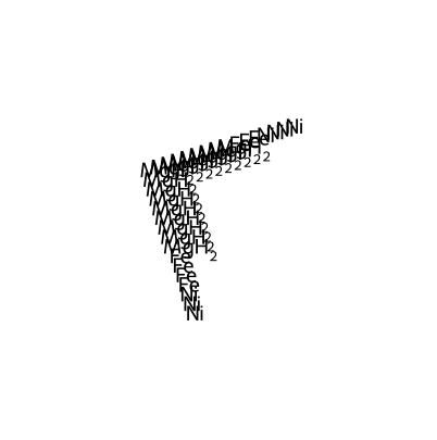 [Fe].[Fe].[Fe].[Fe].[Fe].[Fe].[Fe].[MgH2].[MgH2].[MgH2].[MgH2].[MgH2].[MgH2].[MgH2].[MgH2].[MgH2].[MgH2].[MgH2].[MgH2].[MgH2].[MgH2].[MgH2].[MgH2].[MgH2].[Ni].[Ni].[Ni].[Ni].[Ni].[Ni].[Ni]